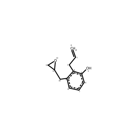 C=CCc1c(O)cccc1CC1CO1